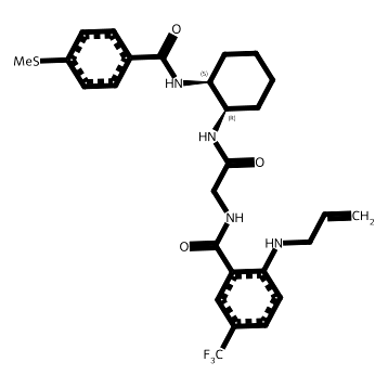 C=CCNc1ccc(C(F)(F)F)cc1C(=O)NCC(=O)N[C@@H]1CCCC[C@@H]1NC(=O)c1ccc(SC)cc1